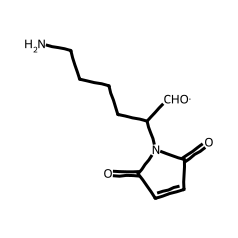 NCCCCC([C]=O)N1C(=O)C=CC1=O